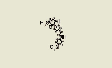 Cn1ncc(Cl)c(N2CCN(CCNc3ccc([N+](=O)[O-])cc3)CC2)c1=O